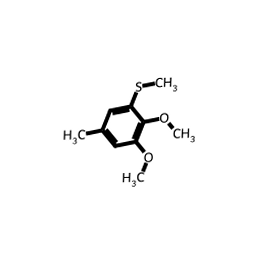 COc1cc(C)cc(SC)c1OC